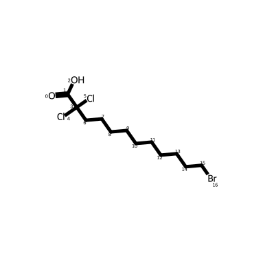 O=C(O)C(Cl)(Cl)CCCCCCCCCCBr